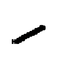 COOOOOOOOOOOOOOOOOOOOO